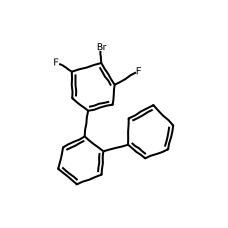 Fc1cc(-c2ccccc2-c2ccccc2)cc(F)c1Br